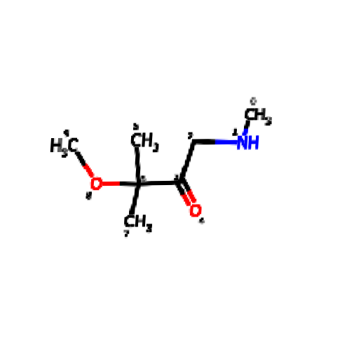 CNCC(=O)C(C)(C)OC